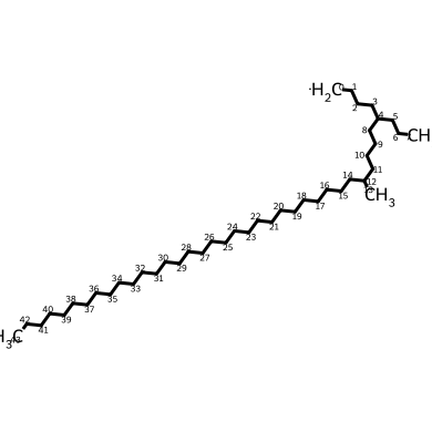 [CH2]CCCC(CCC)CCCCC(C)CCCCCCCCCCCCCCCCCCCCCCCCCCCCCC